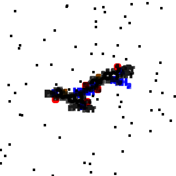 CCCN(CCC)C(=O)C1=Cc2ccc(-c3cc4c(=O)n(CC(=O)NNC5=Nc6cc(-c7cc8c(=O)n(CC)ccc8s7)ccc6C=C(C(=O)N(CCC)CCC)C5)ccc4s3)cc2N=C(N)C1